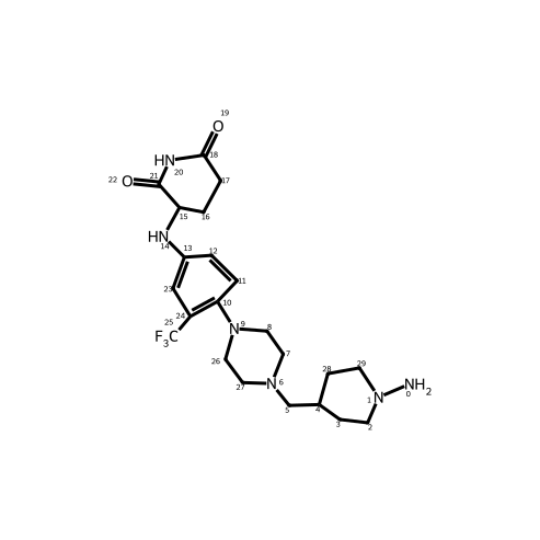 NN1CCC(CN2CCN(c3ccc(NC4CCC(=O)NC4=O)cc3C(F)(F)F)CC2)CC1